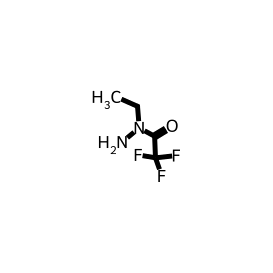 CCN(N)C(=O)C(F)(F)F